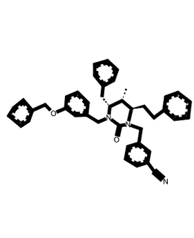 C[C@@H]1[C@@H](CCc2ccccc2)N(Cc2cccc(C#N)c2)C(=O)N(Cc2cccc(OCc3ccccc3)c2)[C@@H]1Cc1ccccc1